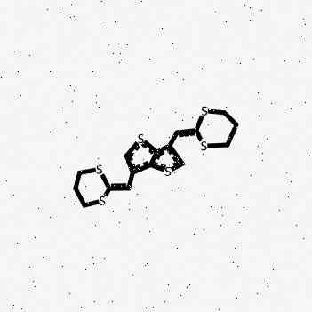 C(=C1SCCCS1)c1csc2c(C=C3SCCCS3)csc12